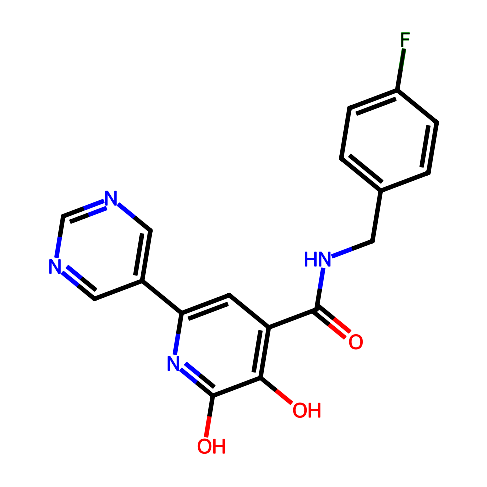 O=C(NCc1ccc(F)cc1)c1cc(-c2cncnc2)nc(O)c1O